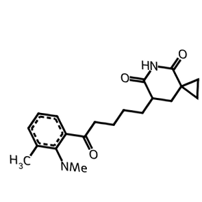 CNc1c(C)cccc1C(=O)CCCCC1CC2(CC2)C(=O)NC1=O